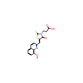 COc1cccc2ccc(/C=C3\SC(=S)N(CCC(=O)O)C3=O)nc12